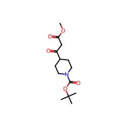 COC(=O)CC(=O)C1CCN(C(=O)OC(C)(C)C)CC1